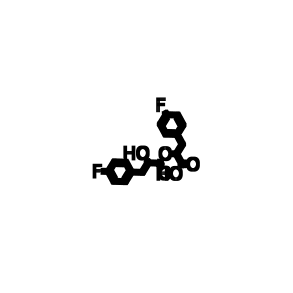 O=C(OC(Cc1ccc(F)cc1)C(=O)O)C(O)Cc1ccc(F)cc1